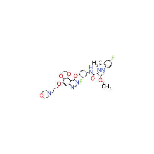 CCOc1cn(-c2ccc(F)cc2C)nc1C(=O)Nc1ccc(Oc2ncnc3cc(OCCCN4CCOCC4)c4c(c23)OCCO4)c(F)c1